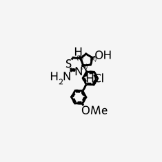 COc1cccc(-c2cccc([C@]34C[C@H](O)C[C@H]3CSC(N)=N4)c2)c1.Cl